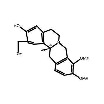 COc1ccc2c(c1OC)CN1CCc3cc(O)c(CO)cc3[C@H]1C2